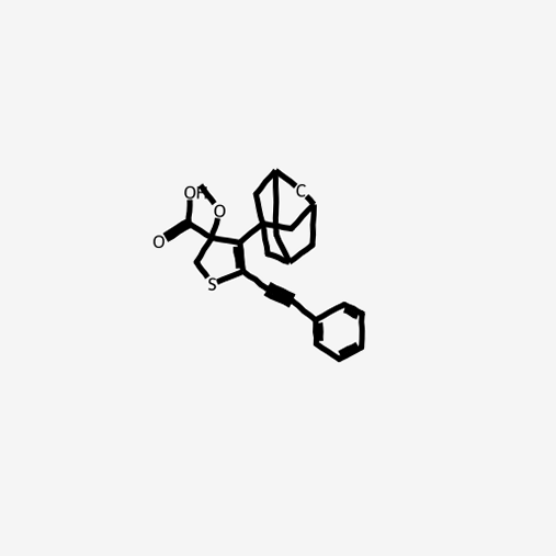 COC1(C(=O)O)CSC(C#Cc2ccccc2)=C1C12CC3CC(CC(C3)C1)C2